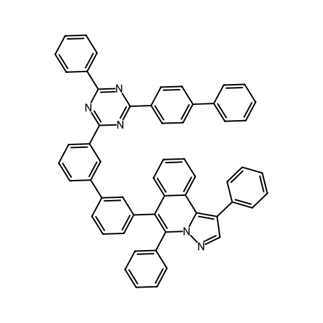 c1ccc(-c2ccc(-c3nc(-c4ccccc4)nc(-c4cccc(-c5cccc(-c6c(-c7ccccc7)n7ncc(-c8ccccc8)c7c7ccccc67)c5)c4)n3)cc2)cc1